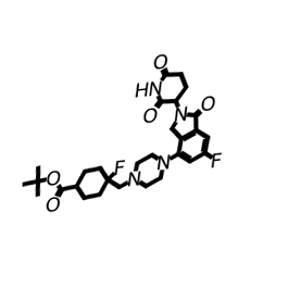 CC(C)(C)OC(=O)C1CCC(F)(CN2CCN(c3cc(F)cc4c3CN(C3CCC(=O)NC3=O)C4=O)CC2)CC1